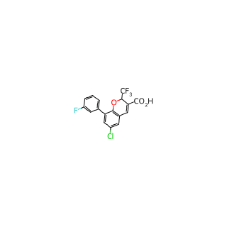 O=C(O)C1=Cc2cc(Cl)cc(-c3cccc(F)c3)c2OC1C(F)(F)F